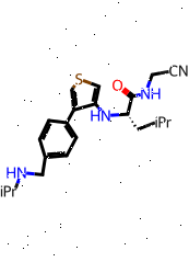 CC(C)C[C@H](Nc1cscc1-c1ccc(CNC(C)C)cc1)C(=O)NCC#N